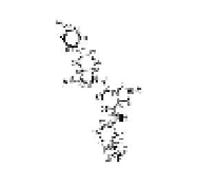 CC(=O)c1nn(CC(=O)N2C[C@H](F)C[C@H]2C(=O)Nc2cccc(S(F)(F)(F)(F)F)c2)c2ccc(-c3cnc(C)nc3)cc12